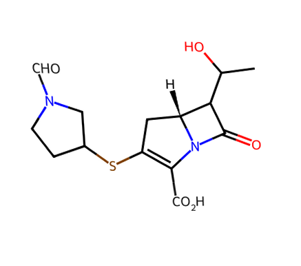 CC(O)C1C(=O)N2C(C(=O)O)=C(SC3CCN(C=O)C3)C[C@H]12